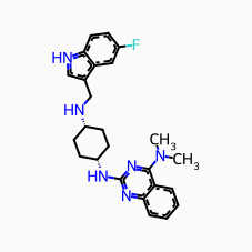 CN(C)c1nc(N[C@H]2CC[C@@H](NCc3c[nH]c4ccc(F)cc34)CC2)nc2ccccc12